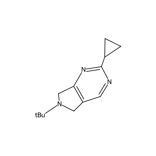 CC(C)(C)N1Cc2cnc(C3CC3)nc2C1